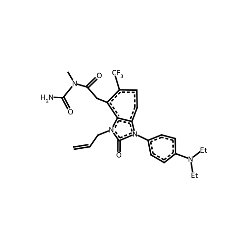 C=CCn1c(=O)n(-c2ccc(N(CC)CC)cc2)c2ccc(C(F)(F)F)c(CC(=O)N(C)C(N)=O)c21